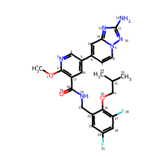 COc1ncc(-c2ccn3nc(N)nc3c2)cc1C(=O)NCc1cc(F)cc(F)c1OCC(C)C